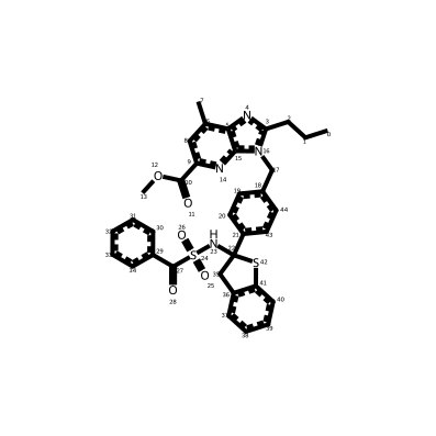 CCCc1nc2c(C)cc(C(=O)OC)nc2n1Cc1ccc(C2(NS(=O)(=O)C(=O)c3ccccc3)Cc3ccccc3S2)cc1